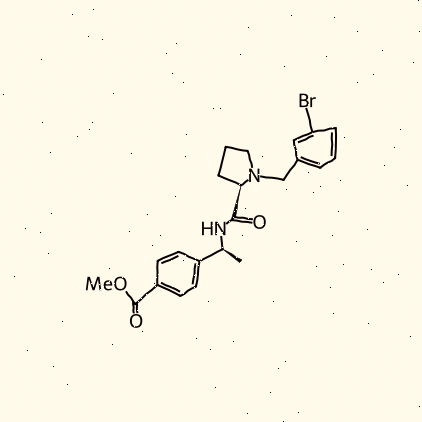 COC(=O)c1ccc([C@H](C)NC(=O)[C@H]2CCCN2Cc2cccc(Br)c2)cc1